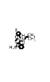 CC(C)CCNC(=O)C1c2c(n(C)c3ccccc23)SCC(=O)N1Cc1ccc(F)cc1